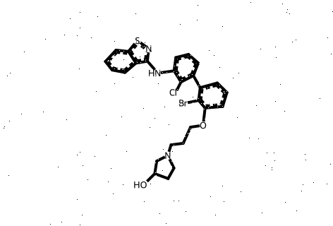 OC1CCN(CCCOc2cccc(-c3cccc(Nc4nsc5ccccc45)c3Cl)c2Br)C1